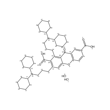 Cl.Cl.O=C(O)c1ccc2oc3cc(CCCN(C4CCCCC4)C4CCCCC4)c(C(=O)O)c(CCCN(C4CCCCC4)C4CCCCC4)c3c(=O)c2c1